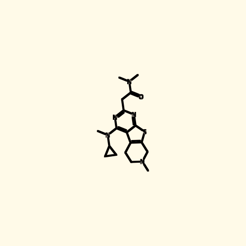 CN1CCc2c(sc3nc(CC(=O)N(C)C)nc(N(C)C4CC4)c23)C1